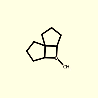 CB1C2CCCC23CCCC13